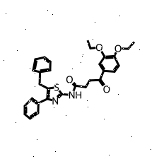 CCOc1ccc(C(=O)CCC(=O)Nc2nc(-c3ccccc3)c(Cc3ccccc3)s2)cc1OCC